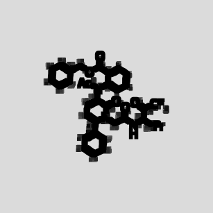 CC(=O)N(c1ccccc1C(=O)OCc1ccccc1)c1ccc(-c2ccccc2)n(CC(=O)NC(C(=O)C(F)(F)F)C(C)C)c1=O